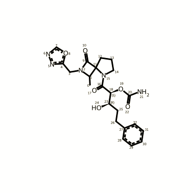 CC1N(Cc2nnco2)C(=O)C12CCCN2C(=O)[C@@H](OC(N)=O)[C@H](O)CCc1ccccc1